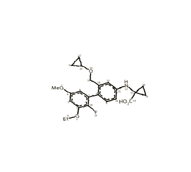 CCOc1cc(OC)cc(-c2ccc(NC3(C(=O)O)CC3)cc2COC2CC2)c1F